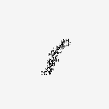 CCOc1ccc(-c2cnc3c(Nc4ccc(C(=O)NCCNC(=O)CC(O)CN)c(CC)c4)nccn23)c(F)c1F